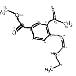 CCN/N=N\c1ccc(C(=O)OC)cc1C(C)=O